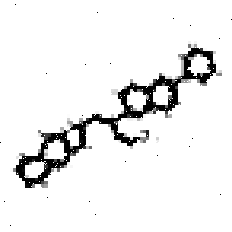 C/C=C\C(=C/C1=Nc2nc3ccccc3cc2C1)c1ccc2cc(-c3ccccc3)ccc2c1